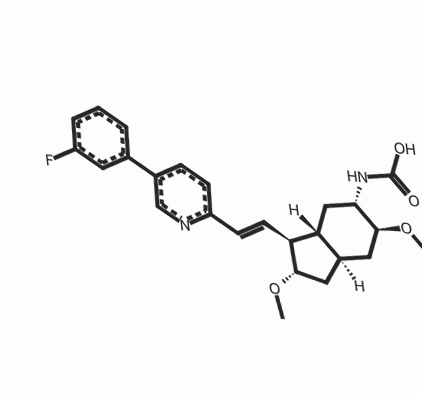 CO[C@H]1C[C@@H]2C[C@H](OC)[C@@H](NC(=O)O)C[C@H]2[C@@H]1/C=C/c1ccc(-c2cccc(F)c2)cn1